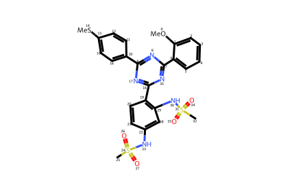 COc1ccccc1-c1nc(-c2ccc(SC)cc2)nc(-c2ccc(NS(C)(=O)=O)cc2NS(C)(=O)=O)n1